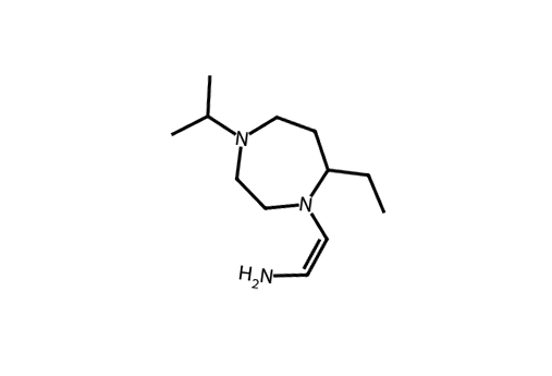 CCC1CCN(C(C)C)CCN1/C=C\N